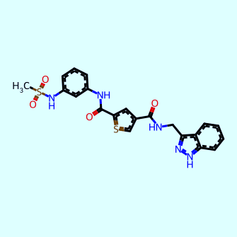 CS(=O)(=O)Nc1cccc(NC(=O)c2cc(C(=O)NCc3n[nH]c4ccccc34)cs2)c1